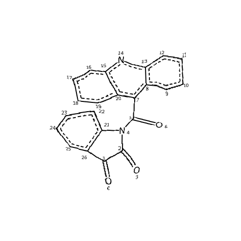 O=C1C(=O)N(C(=O)c2c3ccccc3nc3ccccc23)c2ccccc21